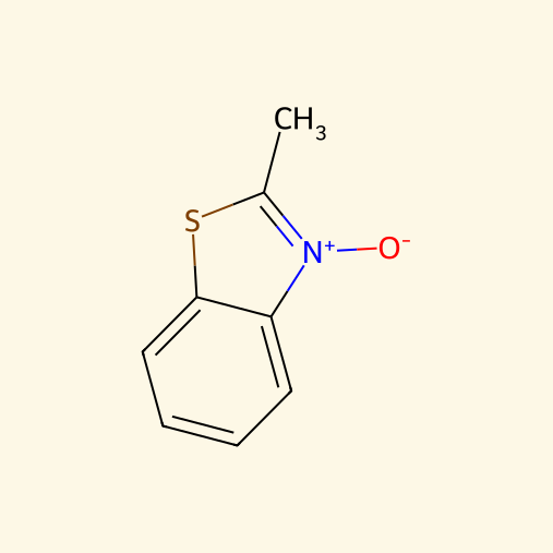 Cc1sc2ccccc2[n+]1[O-]